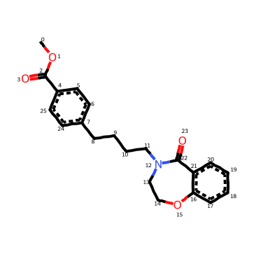 COC(=O)c1ccc(CCCCN2CCOc3ccccc3C2=O)cc1